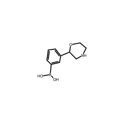 OB(O)c1cccc(C2CNCCO2)c1